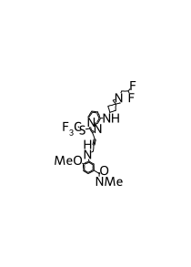 CNC(=O)c1ccc(OC)c(NCC#Cc2nc3c(NC4CC5(C4)CN(CC(F)F)C5)cccn3c2SC(F)(F)F)c1